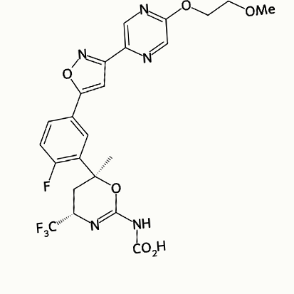 COCCOc1cnc(-c2cc(-c3ccc(F)c([C@]4(C)C[C@@H](C(F)(F)F)N=C(NC(=O)O)O4)c3)on2)cn1